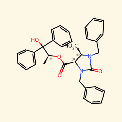 C[C@H](OC(=O)[C@H]1[C@@H](C(=O)O)N(Cc2ccccc2)C(=O)N1Cc1ccccc1)C(O)(c1ccccc1)c1ccccc1